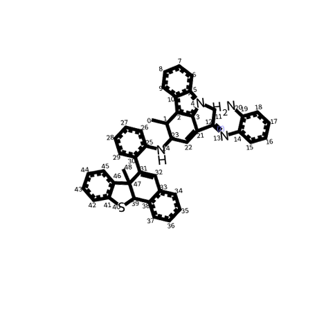 CC1c2c3n(c4ccccc24)C/C(=N\c2ccccc2N)C3=CC1Nc1ccccc1C1=Cc2ccccc2C2Sc3ccccc3C12C